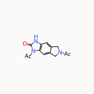 CC(=O)N1Cc2cc3[nH]c(=O)n(C(C)=O)c3cc2C1